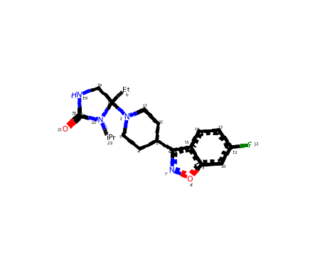 CCC1(N2CCC(c3noc4cc(F)ccc34)CC2)CNC(=O)N1C(C)C